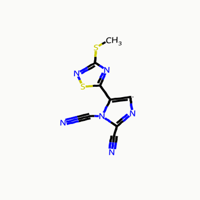 CSc1nsc(-c2[c]nc(C#N)n2C#N)n1